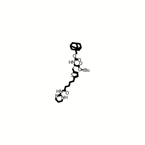 CC(C)(C)OC(=O)[C@H](Cc1ccc(CCCCC(=O)NC2=NCCCN2)s1)NC(=O)OCC12CC3CC(CC(C3)C1)C2